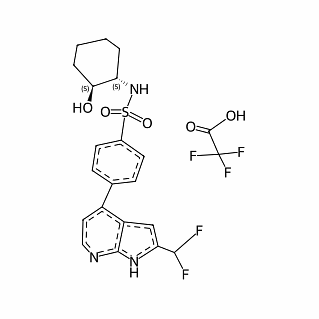 O=C(O)C(F)(F)F.O=S(=O)(N[C@H]1CCCC[C@@H]1O)c1ccc(-c2ccnc3[nH]c(C(F)F)cc23)cc1